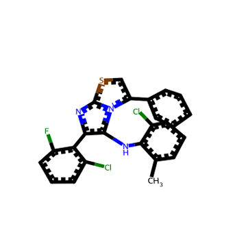 Cc1cccc(Cl)c1Nc1c(-c2c(F)cccc2Cl)nc2scc(-c3ccccc3)n12